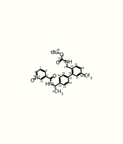 C[C@@H](NC(=O)c1ccc[n+]([O-])c1)c1ccc(-c2cc(C(F)(F)F)ccc2CNC(=O)OC(C)(C)C)cc1